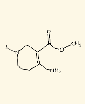 COC(=O)C1=C(N)CCN(I)C1